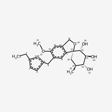 CCc1ccc(Cc2cc3c(cc2OC)CO[C@]32C[C@H](C)[C@@H](O)[C@H](O)[C@H]2O)s1